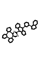 c1cc(-c2cccc3ccccc23)cc(-c2c3ccccc3c(-c3ncc4c(n3)-c3ccccc3-c3ccccc3-c3ccccc3-4)c3ccccc23)c1